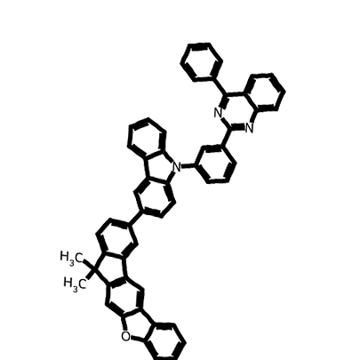 CC1(C)c2ccc(-c3ccc4c(c3)c3ccccc3n4-c3cccc(-c4nc(-c5ccccc5)c5ccccc5n4)c3)cc2-c2cc3c(cc21)oc1ccccc13